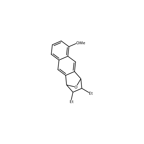 CCC1C2OC(c3cc4c(OC)cccc4cc32)C1CC